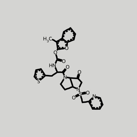 Cc1c(OC(=O)NC(Cc2cccs2)C(=O)N2CCC3C2C(=O)CN3S(=O)(=O)Cc2ccccn2)oc2ccccc12